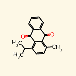 Cc1ccc(C(C)C)c2c1C(=O)c1ccccc1C2=O